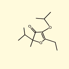 CCC1=C(OC(C)C)C(=O)C(C)(C(C)C)O1